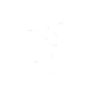 COc1nc(NC(=O)n2c(S(N)(=O)=O)c(C)c3ccccc32)nc(OC)n1